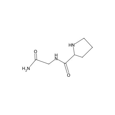 NC(=O)CNC(=O)C1CCCN1